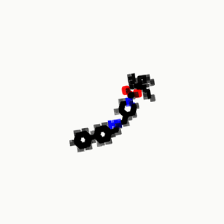 CC(C)(C)OC(=O)N1CCC(CNCc2ccc(-c3ccccc3)cc2)CC1